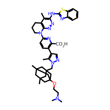 Cc1c(Nc2nc3ccccc3s2)nnc2c1CCCN2c1ccc(-c2cnn(CC34CC5(C)CC(C)(C3)CC(OCCN(C)C)(C5)C4)c2C)c(C(=O)O)n1